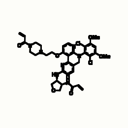 C=CC(=O)N[C@H]1COC[C@H]1Nc1ncc2c(n1)-c1c(OCCN3CCN(C(=O)C=C)CC3)ccnc1N(c1c(Cl)c(OC)cc(OC)c1Cl)C2